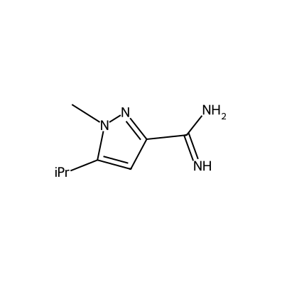 CC(C)c1cc(C(=N)N)nn1C